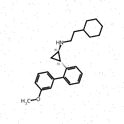 COc1cccc(-c2ccccc2[C@@H]2C[C@H]2NCCC2CCCCC2)c1